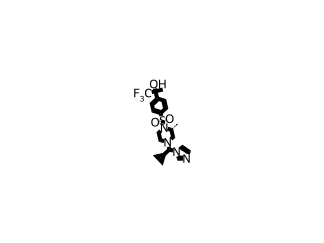 C[C@@H]1CN(C(C2CC2)n2ccnc2)CCN1S(=O)(=O)c1ccc(C(C)(O)C(F)(F)F)cc1